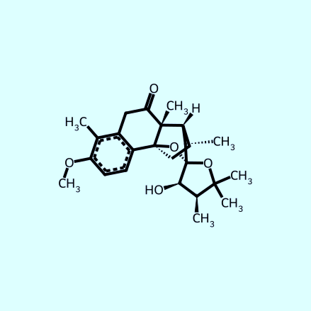 COc1ccc2c(c1C)CC(=O)[C@]1(C)[C@@H]3CC[C@]21O[C@@]1(OC(C)(C)[C@@H](C)[C@H]1O)[C@H]3C